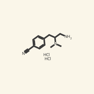 CN(C)C(CN)Cc1ccc(C#N)cc1.Cl.Cl